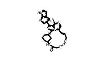 Nc1ncc2n3c(nc(-c4cnc5[nH]ccc5c4)c13)[C@@H]1CCC[C@H](C1)NC(=O)CCOCC/C=C/2